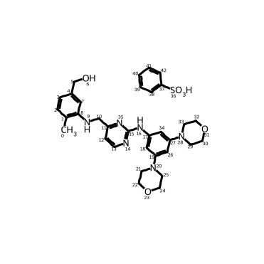 Cc1ccc(CO)cc1NCc1ccnc(Nc2cc(N3CCOCC3)cc(N3CCOCC3)c2)n1.O=S(=O)(O)c1ccccc1